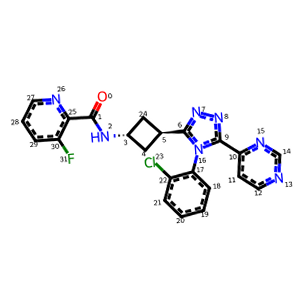 O=C(N[C@H]1C[C@H](c2nnc(-c3ccncn3)n2-c2ccccc2Cl)C1)c1ncccc1F